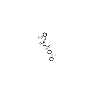 O=C(Nc1ccc(Nc2ccccc2)cc1)C1CC(=O)N(C=Cc2ccccc2O)C1